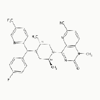 C[C@@H]1CN(c2nc(=O)n(C)c3ccc(C#N)nc23)[C@@H](C)CN1C(c1ccc(F)cc1)c1ccc(C(F)(F)F)cn1